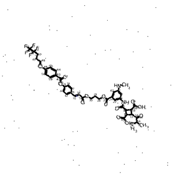 CNc1cc(NC(=O)C2C(C(=O)O)C(C(=O)C(C)C)C2C(=O)O)cc(C(=O)OCCCOC(=O)/C=C/c2ccc(OC(=O)c3ccc(OCCCC(F)(F)C(F)(F)F)cc3)cc2)c1